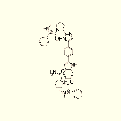 CN(C)[C@H](C(=O)N1CCCC1c1ncc(-c2ccc(-c3cc4cc([N+]5(C(=O)[C@@H](c6ccccc6)N(C)C)CCC[C@H]5C(N)=O)ccc4[nH]3)cc2)[nH]1)c1ccccc1